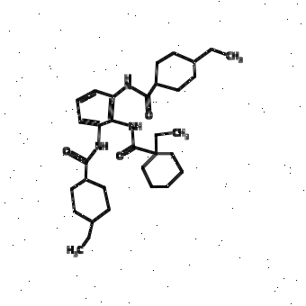 CCC1CCC(C(=O)Nc2cccc(NC(=O)C3CCC(CC)CC3)c2NC(=O)C2(CC)CCCCC2)CC1